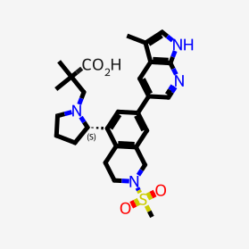 Cc1c[nH]c2ncc(-c3cc4c(c([C@@H]5CCCN5CC(C)(C)C(=O)O)c3)CCN(S(C)(=O)=O)C4)cc12